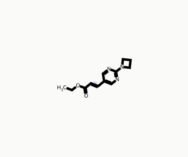 CCOC(=O)/C=C/c1cnc(N2CCC2)nc1